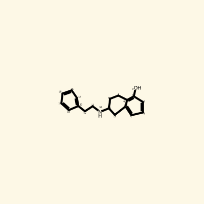 Oc1cccc2c1CCC(NCCc1ccccc1)C2